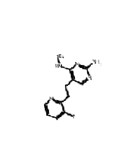 CCCCNc1nc(N)ncc1CCc1ncccc1F